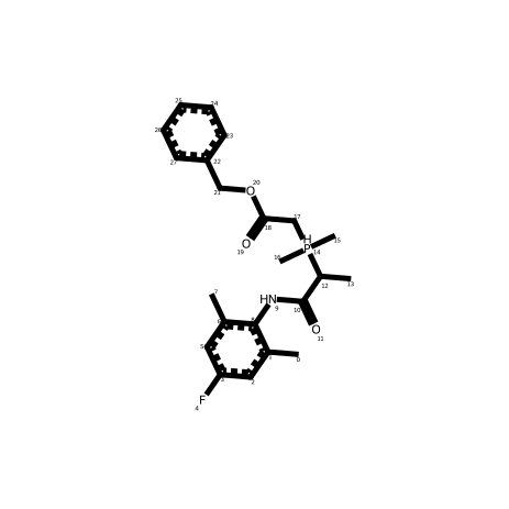 Cc1cc(F)cc(C)c1NC(=O)C(C)[PH](C)(C)CC(=O)OCc1ccccc1